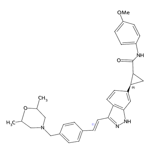 COc1ccc(NC(=O)C2C[C@H]2c2ccc3c(/C=C/c4ccc(CN5CC(C)OC(C)C5)cc4)n[nH]c3c2)cc1